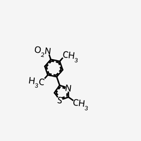 Cc1nc(-c2cc(C)c([N+](=O)[O-])cc2C)cs1